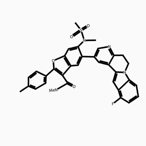 CNC(=O)c1c(-c2ccc(C)cc2)oc2cc(N(C)S(C)(=O)=O)c(-c3cnc4c(c3)-c3cc5c(F)cccc5n3CC4)cc12